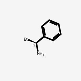 [CH2]C[C@H](N)c1ccccc1